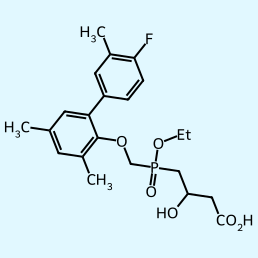 CCOP(=O)(COc1c(C)cc(C)cc1-c1ccc(F)c(C)c1)CC(O)CC(=O)O